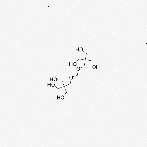 OCC(CO)(CO)COCOCC(CO)(CO)CO